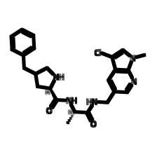 C[C@H](NC(=O)[C@H]1CC(Cc2ccccc2)CN1)C(=O)NCc1cnc2c(c1)c(Cl)cn2C